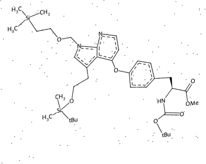 COC(=O)[C@H](Cc1ccc(Oc2ccnc3c2c(CCO[Si](C)(C)C(C)(C)C)cn3COCC[Si](C)(C)C)cc1)NC(=O)OC(C)(C)C